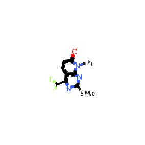 CSc1nc(C(F)F)c2ccc(=O)n(C(C)C)c2n1